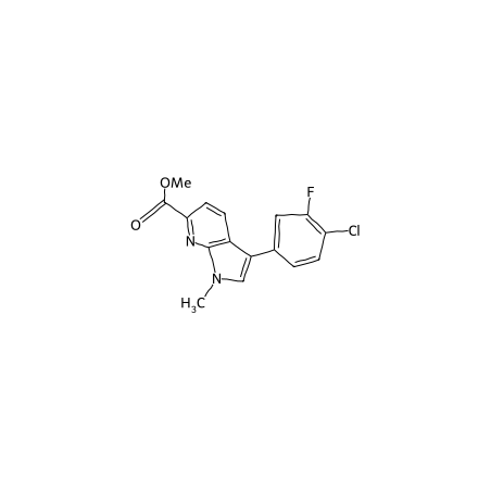 COC(=O)c1ccc2c(-c3ccc(Cl)c(F)c3)cn(C)c2n1